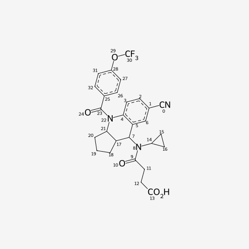 N#Cc1ccc2c(c1)C(N(C(=O)CCC(=O)O)C1CC1)C1CCCC1N2C(=O)c1ccc(OC(F)(F)F)cc1